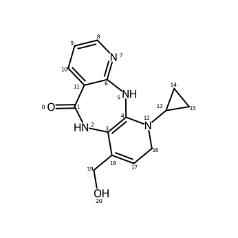 O=C1NC2=C(Nc3ncccc31)N(C1CC1)CC=C2CO